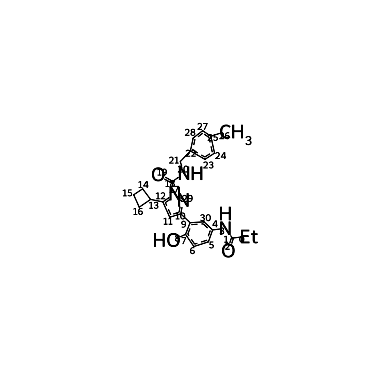 CCC(=O)Nc1ccc(O)c(-c2cc(C3CCC3)n(C(=O)NCc3ccc(C)cc3)n2)c1